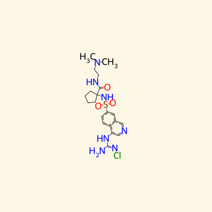 CN(C)CCNC(=O)C1(NS(=O)(=O)c2ccc3c(NC(N)=NCl)cncc3c2)CCCC1